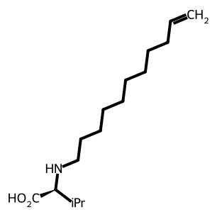 C=CCCCCCCCCCN[C@H](C(=O)O)C(C)C